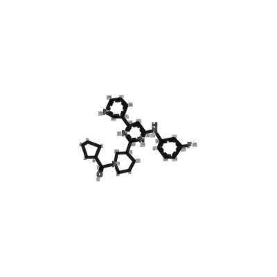 O=C(C1CCCC1)N1CCCC(c2nc(Nc3cccc(F)c3)cc(-c3cccnc3)n2)C1